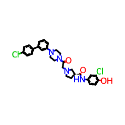 O=C(Nc1ccc(O)c(Cl)c1)[C@@H]1CCN(CC(=O)N2CCN(c3cccc(-c4ccc(Cl)cc4)c3)CC2)C1